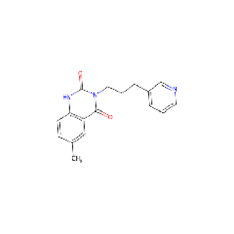 Cc1ccc2[nH]c(=O)n(CCCc3cccnc3)c(=O)c2c1